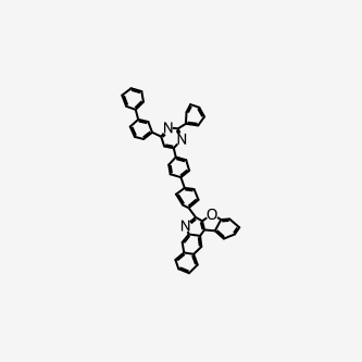 c1ccc(-c2cccc(-c3cc(-c4ccc(-c5ccc(-c6nc7cc8ccccc8cc7c7c6oc6ccccc67)cc5)cc4)nc(-c4ccccc4)n3)c2)cc1